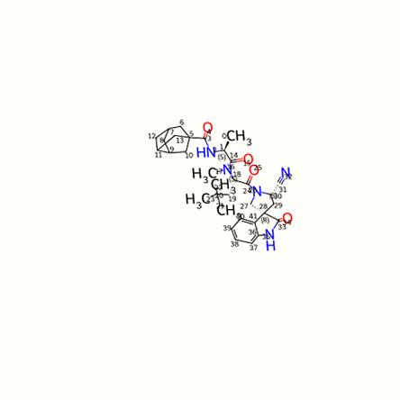 C[C@H](NC(=O)C12CC3CC(C1)C(C3)C2)C(=O)N(C)[C@@H](CC(C)(C)C)C(=O)N1C[C@]2(C[C@H]1C#N)C(=O)Nc1ccccc12